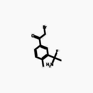 Cc1ccc(C(=O)CBr)cc1C(C)(N)F